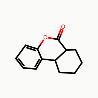 O=C1Oc2ccccc2C2CCCCC12